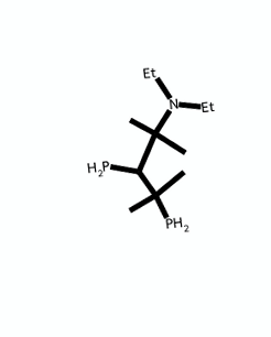 CCN(CC)C(C)(C)C(P)C(C)(C)P